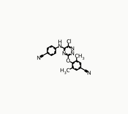 Cc1cc(C#N)cc(C)c1Oc1nnc(Cl)c(Nc2ccc(C#N)cc2)n1